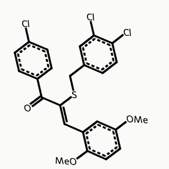 COc1ccc(OC)c(C=C(SCc2ccc(Cl)c(Cl)c2)C(=O)c2ccc(Cl)cc2)c1